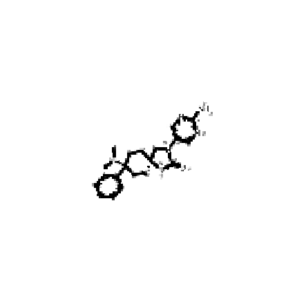 CN(C)[C@]1(c2ccccc2)CC[C@]2(CC1)CN(c1cnc(N)nc1)C(=O)N2